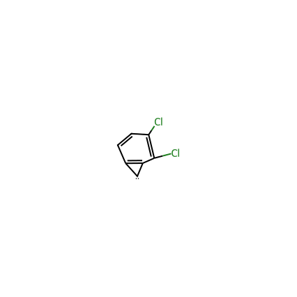 Clc1ccc2c(c1Cl)[C]2